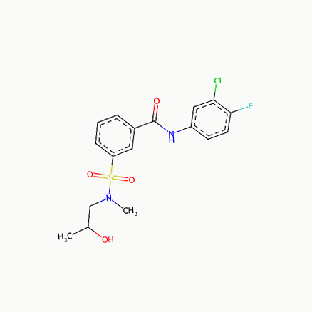 CC(O)CN(C)S(=O)(=O)c1cccc(C(=O)Nc2ccc(F)c(Cl)c2)c1